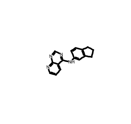 c1cnc2ncnc(Nc3ccc4c(c3)CCC4)c2c1